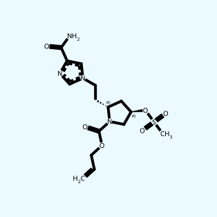 C=CCOC(=O)N1C[C@H](OS(C)(=O)=O)C[C@H]1CCn1cnc(C(N)=O)c1